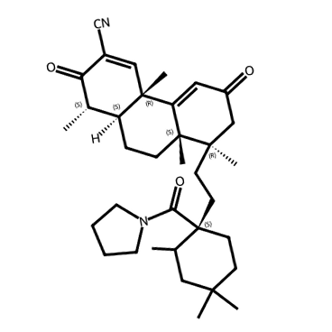 CC1CC(C)(C)CC[C@@]1(CC[C@]1(C)CC(=O)C=C2[C@@]3(C)C=C(C#N)C(=O)[C@@H](C)[C@@H]3CC[C@]21C)C(=O)N1CCCC1